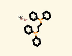 [Br-].[Br-].[Pd+2].c1ccc(P(CCCP(c2ccccc2)c2ccccc2)c2ccccc2)cc1